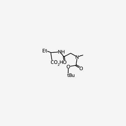 CCC(NC(=O)CN(C)C(=O)OC(C)(C)C)C(=O)O